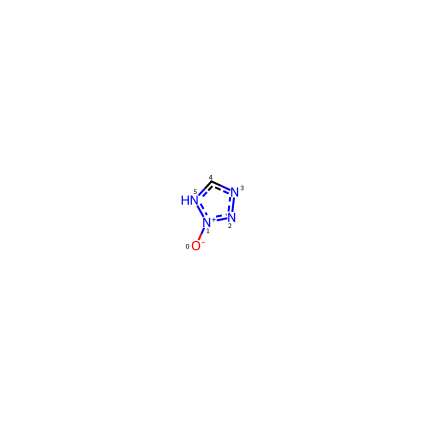 [O-][n+]1nnc[nH]1